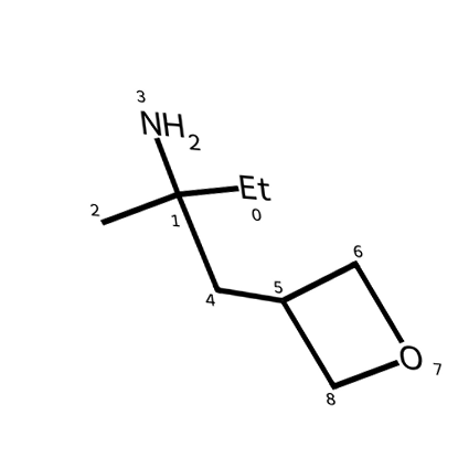 CCC(C)(N)CC1COC1